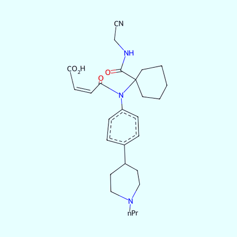 CCCN1CCC(c2ccc(N(C(=O)/C=C\C(=O)O)C3(C(=O)NCC#N)CCCCC3)cc2)CC1